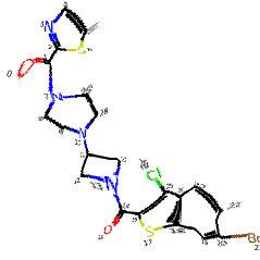 O=C(c1nccs1)N1CCN(C2CN(C(=O)c3sc4cc(Br)ccc4c3Cl)C2)CC1